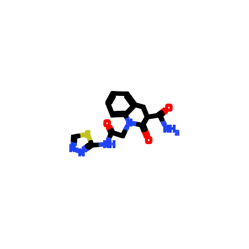 NC(=O)C1Cc2ccccc2N(CC(=O)Nc2nncs2)C1=O